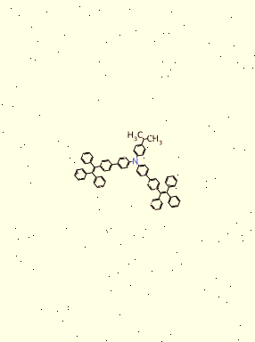 CC(C)c1ccc(N(c2ccc(-c3ccc(C(=C(c4ccccc4)c4ccccc4)c4ccccc4)cc3)cc2)c2ccc(-c3ccc(C(=C(c4ccccc4)c4ccccc4)c4ccccc4)cc3)cc2)cc1